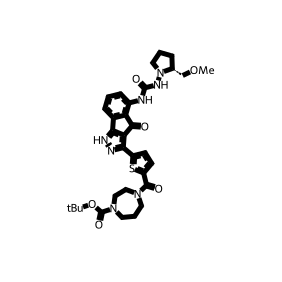 COC[C@H]1CCCN1NC(=O)Nc1cccc2c1C(=O)c1c(-c3ccc(C(=O)N4CCCN(C(=O)OC(C)(C)C)CC4)s3)n[nH]c1-2